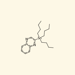 CCC[CH2][Sn]([CH2]CCC)([CH2]CCC)[c]1cnc2ccccc2n1